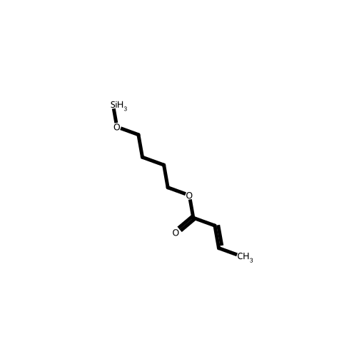 CC=CC(=O)OCCCCO[SiH3]